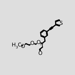 COCCOCO[C@H](CC=O)Cc1cccc(C#Cc2ccsc2)c1